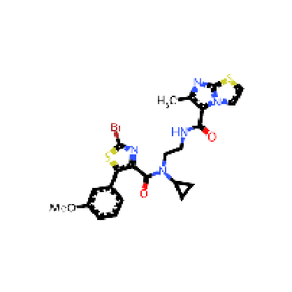 COc1cccc(-c2sc(Br)nc2C(=O)N(CCNC(=O)c2c(C)nc3sccn23)C2CC2)c1